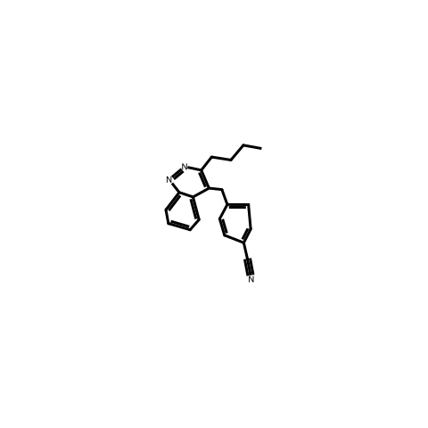 CCCCc1nnc2ccccc2c1Cc1ccc(C#N)cc1